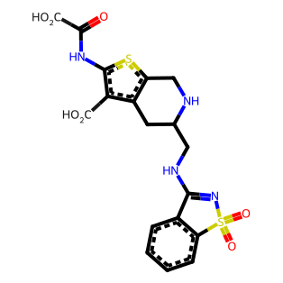 O=C(O)C(=O)Nc1sc2c(c1C(=O)O)CC(CNC1=NS(=O)(=O)c3ccccc31)NC2